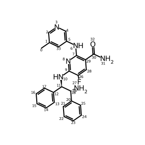 Cc1cncc(Nc2nc(N[C@H](c3ccccc3)[C@H](N)c3ccccc3)c(F)cc2C(N)=O)c1